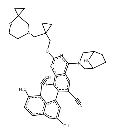 C#Cc1c(C)ccc2cc(O)cc(-c3c(C#N)cc4c(N5CC6CCC(C5)N6)nc(OCC5(CN6CCOC7(CC7)C6)CC5)nc4c3F)c12